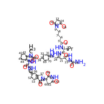 CC(C)[C@H](NC(=O)CCCCCN1C(=O)C=CC1=O)C(=O)N[C@@H](CCCNC(N)=O)CNc1ccc(COC(=O)N(C)c2ccccc2NC(=O)NCc2ccc3c(c2)CN(C2CCC(=O)NC2=O)C3=O)cc1